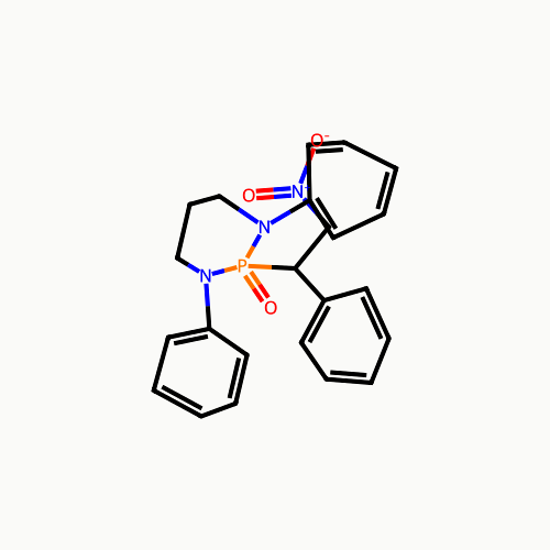 O=[N+]([O-])CC(c1ccccc1)P1(=O)N(c2ccccc2)CCCN1c1ccccc1